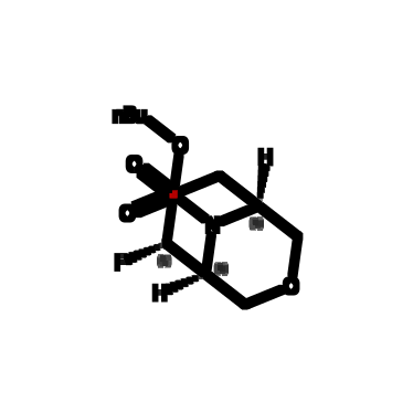 CCCCOC(=O)N1[C@@H]2COC[C@H]1[C@H](F)C(=O)C2